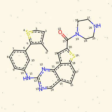 Cc1ccsc1-c1cccc(Nc2ncc3ccc4sc(C(=O)N5CCNCC5)cc4c3n2)c1